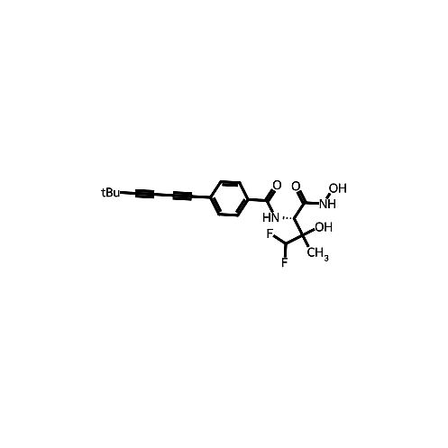 CC(C)(C)C#CC#Cc1ccc(C(=O)N[C@H](C(=O)NO)C(C)(O)C(F)F)cc1